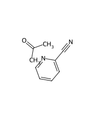 CC(C)=O.N#Cc1ccccn1